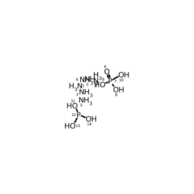 N.N.N.N.N.N.O=P(O)(O)O.OP(O)O